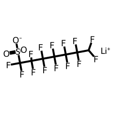 O=S(=O)([O-])C(F)(F)C(F)(F)C(F)(F)C(F)(F)C(F)(F)C(F)(F)C(F)F.[Li+]